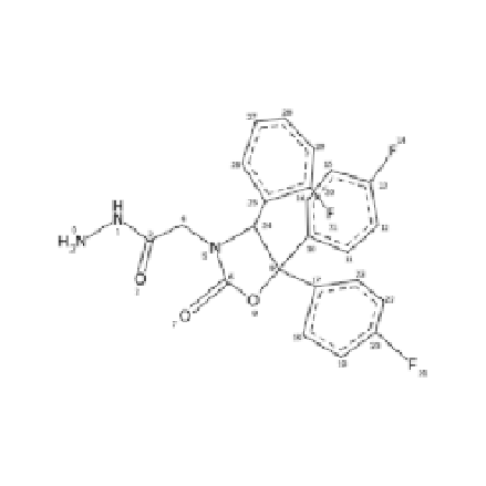 NNC(=O)CN1C(=O)OC(c2ccc(F)cc2)(c2ccc(F)cc2)C1c1ccccc1F